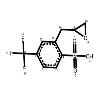 O=S(=O)(O)c1ccc(C(F)(F)F)cc1CC1CO1